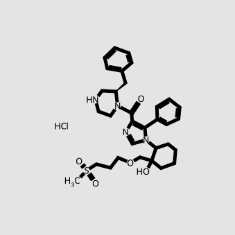 CS(=O)(=O)CCCOCC1(O)CCCCC1n1cnc(C(=O)N2CCNC[C@H]2Cc2ccccc2)c1-c1ccccc1.Cl